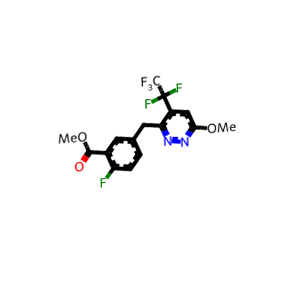 COC(=O)c1cc(Cc2nnc(OC)cc2C(F)(F)C(F)(F)F)ccc1F